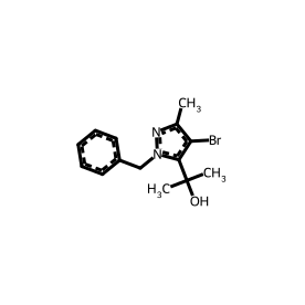 Cc1nn(Cc2ccccc2)c(C(C)(C)O)c1Br